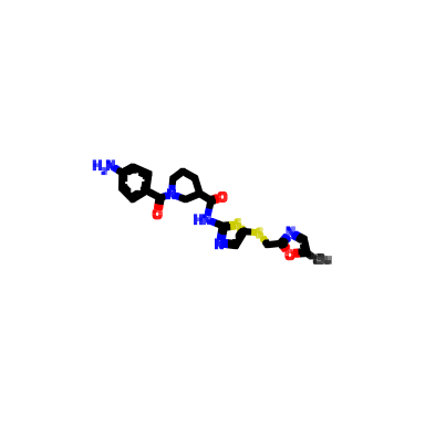 CC(C)(C)c1cnc(CSc2cnc(NC(=O)C3CCCN(C(=O)c4ccc(N)cc4)C3)s2)o1